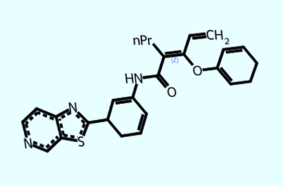 C=C/C(OC1=CCCC=C1)=C(\CCC)C(=O)NC1=CC(c2nc3ccncc3s2)CC=C1